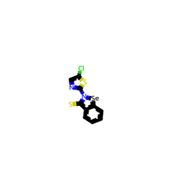 S=c1c2ccccc2[se]n1-c1ncc(Cl)s1